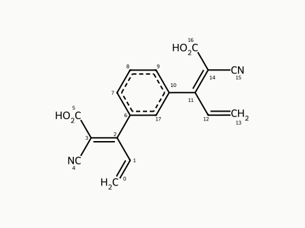 C=C/C(=C(\C#N)C(=O)O)c1cccc(/C(C=C)=C(/C#N)C(=O)O)c1